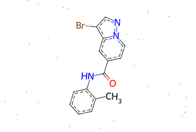 Cc1ccccc1NC(=O)c1ccn2ncc(Br)c2c1